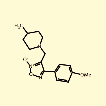 COc1ccc(-c2no[n+]([O-])c2CN2CCC(C)CC2)cc1